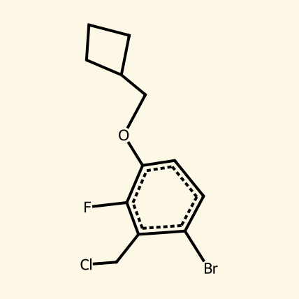 Fc1c(OCC2CCC2)ccc(Br)c1CCl